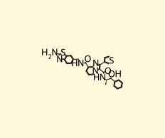 C[C@@H](NC(=O)c1c(-c2ccsc2)nc2c(C(=O)NCc3ccc4nc(N)sc4c3)cccn12)[C@@H](O)c1ccccc1